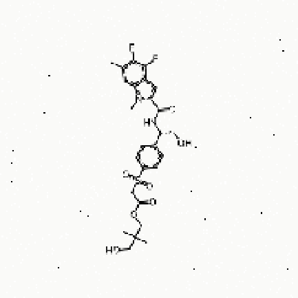 Cc1cc2c(cc(C(=O)N[C@H](CO)c3ccc(S(=O)(=O)CC(=O)OCC(C)(C)CO)cc3)n2C)c(F)c1F